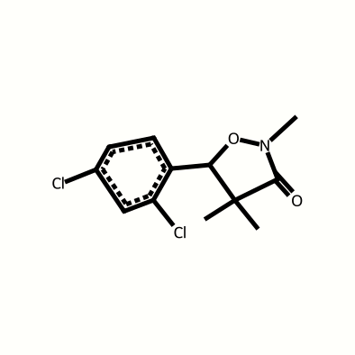 CN1OC(c2ccc(Cl)cc2Cl)C(C)(C)C1=O